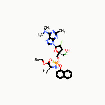 Cc1nc(N(C)C)c2ncn([C@@H]3O[C@](CCl)(COP(=S)(N[C@@H](C)C(=O)OCC(C)(C)C)Oc4cccc5ccccc45)[C@@H](O)[C@@H]3F)c2n1